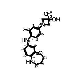 Cc1cc(N2CC(O)(C(F)(F)F)C2)ccc1Nc1ccc2c(c1)OCCCN2